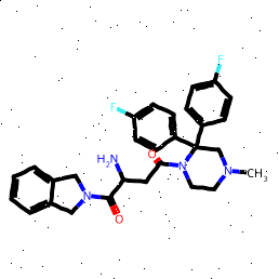 CN1CCN(C(=O)CC(N)C(=O)N2Cc3ccccc3C2)C(c2ccc(F)cc2)(c2ccc(F)cc2)C1